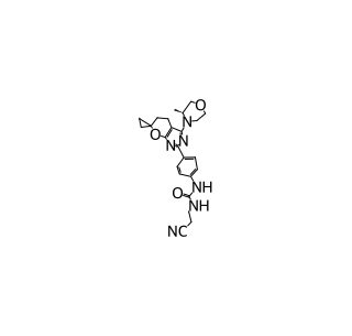 C[C@H]1COCCN1c1nc(-c2ccc(NC(=O)NCCC#N)cc2)nc2c1CCC1(CC1)O2